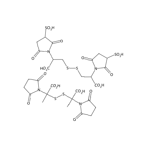 CC(SSC(C)(C(=O)O)N1C(=O)CCC1=O)(C(=O)O)N1C(=O)CCC1=O.O=C(O)C(CSSCC(C(=O)O)N1C(=O)CC(S(=O)(=O)O)C1=O)N1C(=O)CC(S(=O)(=O)O)C1=O